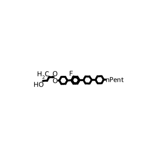 C=C(CCO)C(=O)OC1CCC(c2ccc(C3CCC(C4CCC(CCCCC)CC4)CC3)cc2F)CC1